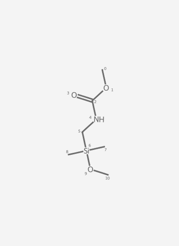 COC(=O)NC[Si](C)(C)OC